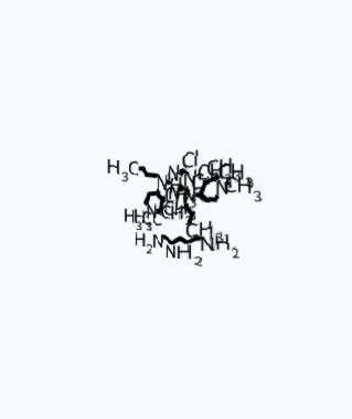 CCCCN(c1nc(Cl)nc(N(CCCC)C2CCN(C)C(C)(C)C2(C)C)n1)C1CCN(C)C(C)(C)C1(C)C.NCCCC(N)CN